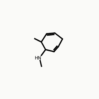 CNC1C=CCC=CC1C